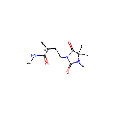 CCNC(=O)[C@@H](C)CCN1C(=O)N(C)C(C)(C)C1=O